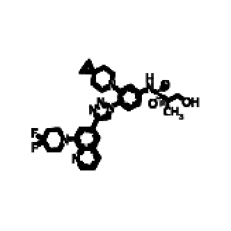 C[C@H](CO)S(=O)(=O)Nc1ccc(-n2cc(-c3cc(N4CCC(F)(F)CC4)c4ncccc4c3)nn2)c(N2CCC3(CC2)CC3)c1